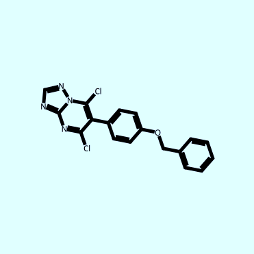 Clc1nc2ncnn2c(Cl)c1-c1ccc(OCc2ccccc2)cc1